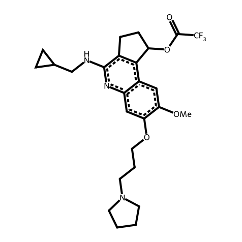 COc1cc2c3c(c(NCC4CC4)nc2cc1OCCCN1CCCC1)CCC3OC(=O)C(F)(F)F